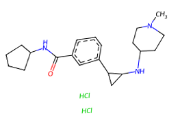 CN1CCC(NC2CC2c2cccc(C(=O)NC3CCCC3)c2)CC1.Cl.Cl